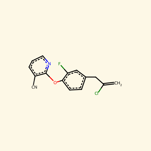 C=C(Cl)Cc1ccc(Oc2ncccc2C#N)c(F)c1